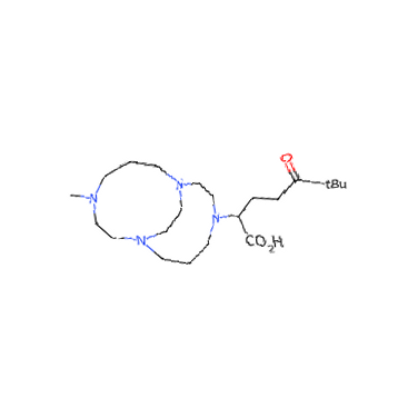 CN1CCCN2CCN(CCCN(C(CCC(=O)C(C)(C)C)C(=O)O)CC2)CC1